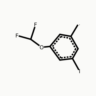 [CH2]c1cc(I)cc(OC(F)F)c1